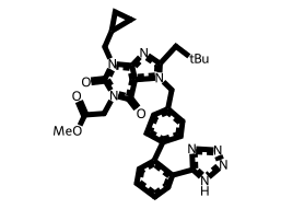 COC(=O)Cn1c(=O)c2c(nc(CC(C)(C)C)n2Cc2ccc(-c3ccccc3-c3nnn[nH]3)cc2)n(CC2CC2)c1=O